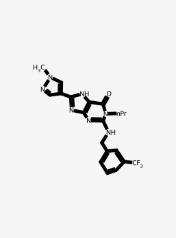 CCCn1c(NCc2cccc(C(F)(F)F)c2)nc2nc(-c3cnn(C)c3)[nH]c2c1=O